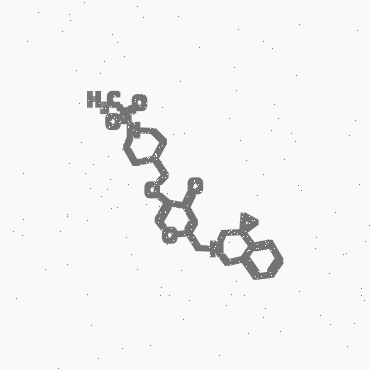 CS(=O)(=O)N1CCC(COc2coc(CN3Cc4ccccc4C4(CC4)C3)cc2=O)CC1